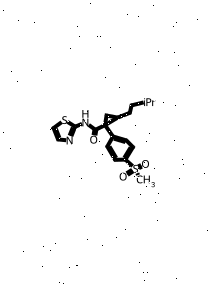 CC(C)CCC1CC1(C(=O)Nc1nccs1)c1ccc(S(C)(=O)=O)cc1